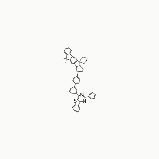 CC1(C)c2ccccc2-c2cc3c(cc21)-c1cc(-c2ccc(-c4cccc(-c5nc(-c6ccccc6)nc6c5sc5ccccc56)c4)cc2)ccc1C31CCCCC1